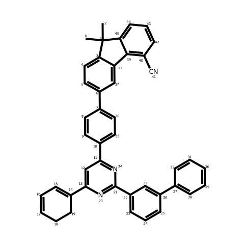 CC1(C)c2ccc(-c3ccc(-c4cc(C5=CC=CCC5)nc(-c5cccc(-c6ccccc6)c5)n4)cc3)cc2-c2c(C#N)cccc21